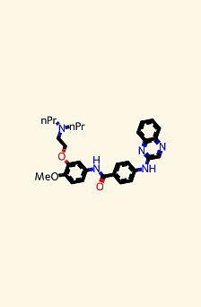 CCCN(CCC)CCOc1cc(NC(=O)c2ccc(Nc3cnc4ccccc4n3)cc2)ccc1OC